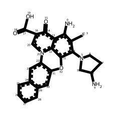 Nc1c(F)c(N2CCC(N)C2)c2c3c1c(=O)c(C(=O)O)cn3-c1cc3ccccc3cc1O2